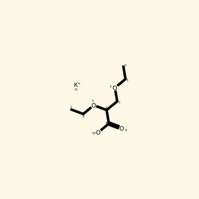 CCOCC(OCC)C(=O)[O-].[K+]